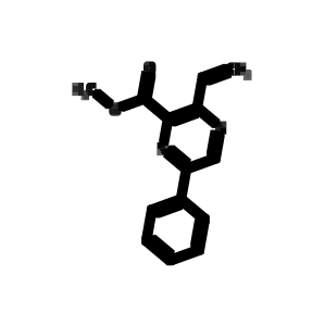 C=Cc1ncc(-c2ccccc2)nc1C(=O)OC